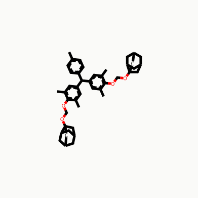 Cc1ccc(C(c2cc(C)c(OCOC34CC5CC(CC3C5)C4)c(C)c2)c2cc(C)c(OCOC34CC5CC(CC3C5)C4)c(C)c2)cc1